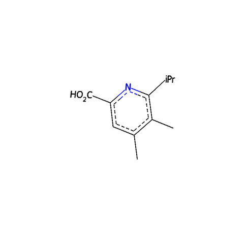 Cc1cc(C(=O)O)nc(C(C)C)c1C